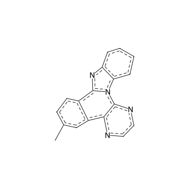 Cc1ccc2c(c1)c1nccnc1n1c3ccccc3nc21